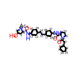 CC(=O)N1C[C@H](O)C[C@H]1C(=O)Nc1ccc(/C=C/c2ccc(NC(=O)[C@@H]3CCCN3C(=O)Cc3ccccc3)cc2)cc1